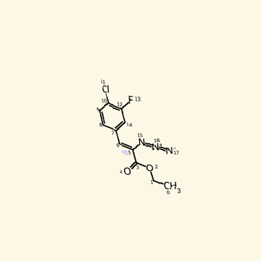 CCOC(=O)/C(=C/c1ccc(Cl)c(F)c1)N=[N+]=[N-]